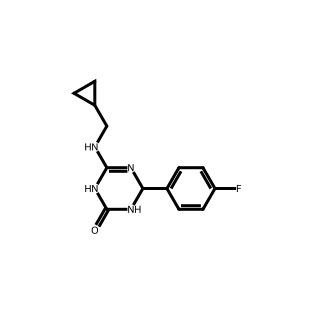 O=C1NC(NCC2CC2)=NC(c2ccc(F)cc2)N1